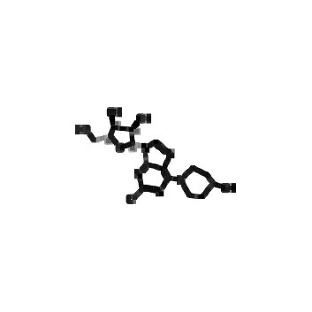 OC[C@H]1O[C@@H](n2cnc3c(N4CCC(O)CC4)nc(Cl)nc32)[C@H](O)[C@@H]1O